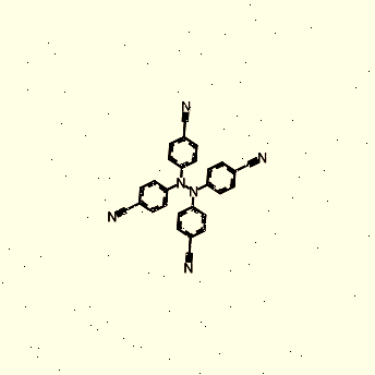 N#Cc1ccc(N(c2ccc(C#N)cc2)N(c2ccc(C#N)cc2)c2ccc(C#N)cc2)cc1